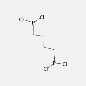 ClP(Cl)CCCCP(Cl)Cl